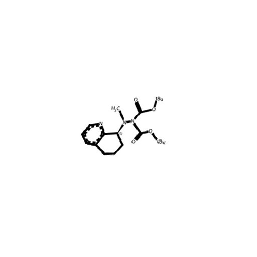 CN([C@H]1CCCc2cccnc21)N(C(=O)OC(C)(C)C)C(=O)OC(C)(C)C